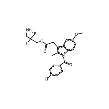 COc1ccc2c(c1)c(CC(=O)OCC(F)(F)CN)c(C)n2C(=O)c1ccc(Cl)cc1